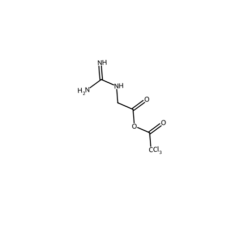 N=C(N)NCC(=O)OC(=O)C(Cl)(Cl)Cl